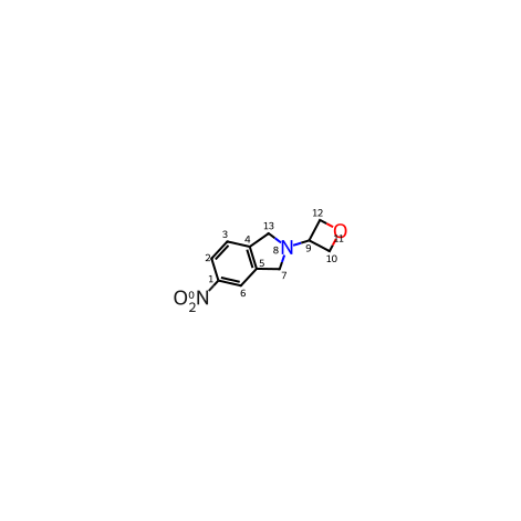 O=[N+]([O-])c1ccc2c(c1)CN(C1COC1)C2